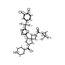 O=C(C1CCNCC1)N1CC(c2nnc(C(F)(F)c3ccc(Cl)c(Cl)c3)o2)C2(C1)CN(C(=O)[C@H]1CC1(F)F)C2